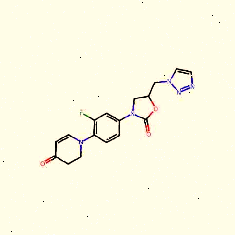 O=C1C=CN(c2ccc(N3CC(Cn4ccnn4)OC3=O)cc2F)CC1